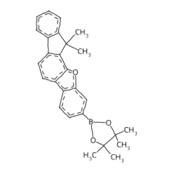 CC1(C)c2ccccc2-c2ccc3c(oc4cc(B5OC(C)(C)C(C)(C)O5)ccc43)c21